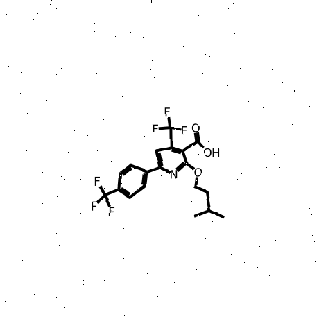 CC(C)CCOc1nc(-c2ccc(C(F)(F)F)cc2)cc(C(F)(F)F)c1C(=O)O